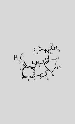 Cc1cccc(C)c1NC1=C(N(C)C)CCCC1